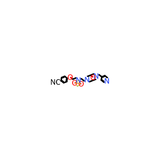 CS(=O)(=O)N(CCOc1ccc(C#N)cc1)CCN1CC2CN(Cc3ccncc3)CC(C1)O2